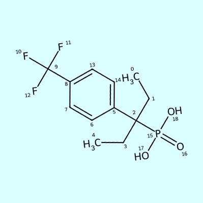 CCC(CC)(c1ccc(C(F)(F)F)cc1)P(=O)(O)O